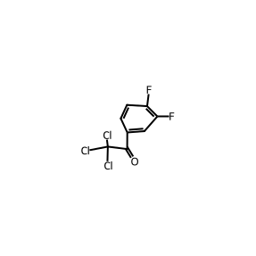 O=C(c1ccc(F)c(F)c1)C(Cl)(Cl)Cl